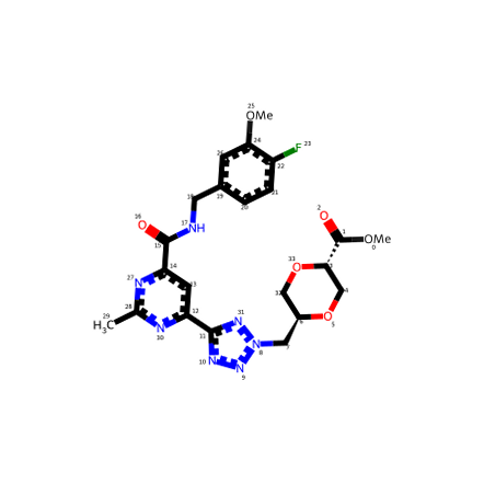 COC(=O)[C@@H]1CO[C@@H](Cn2nnc(-c3cc(C(=O)NCc4ccc(F)c(OC)c4)nc(C)n3)n2)CO1